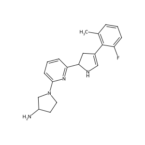 Cc1cccc(F)c1C1=CNC(c2cccc(N3CCC(N)C3)n2)C1